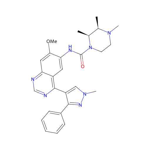 COc1cc2ncnc(-c3cn(C)nc3-c3ccccc3)c2cc1NC(=O)N1CCN(C)[C@H](C)[C@@H]1C